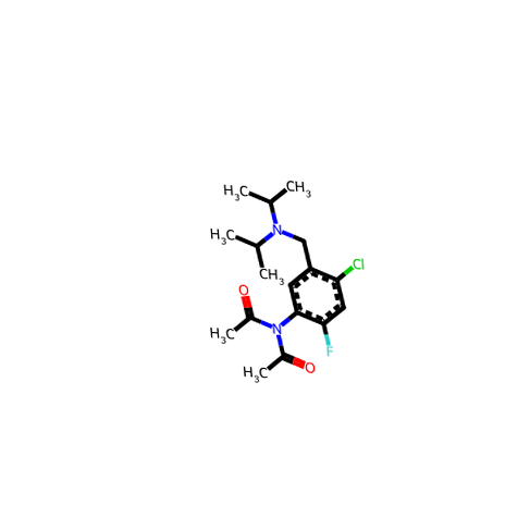 CC(=O)N(C(C)=O)c1cc(CN(C(C)C)C(C)C)c(Cl)cc1F